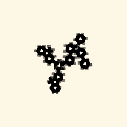 CC1(C)c2ccc#cc2-c2ccc(-c3nc(-c4cccc(-c5cccc6c5c5cc(-c7ccccc7)ccc5n6-c5ccccc5)c4)nc(-c4ccc5c(c4)C(C)(C)c4ccccc4-5)n3)cc21